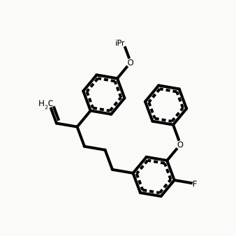 C=CC(CCCc1ccc(F)c(Oc2ccccc2)c1)c1ccc(OC(C)C)cc1